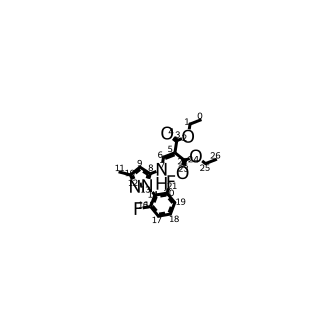 CCOC(=O)C(=CNc1cc(C)nn1-c1c(F)cccc1F)C(=O)OCC